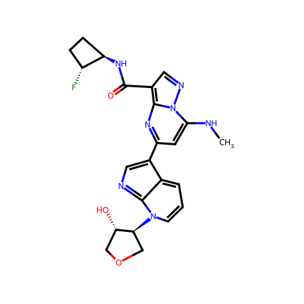 CNc1cc(-c2cnc3n([C@H]4COC[C@@H]4O)cccc2-3)nc2c(C(=O)N[C@@H]3CC[C@H]3F)cnn12